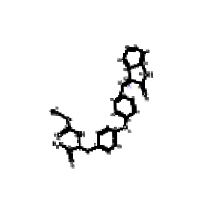 CC(C)(C)OC(=O)NC(Cc1ccc(Oc2ccc(/C=C3\C(=O)Nc4ccccc43)cc2)cc1)C(N)=O